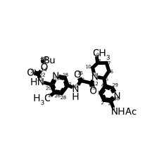 CC(=O)Nc1ccc(C2CCC(C)CN2C(=O)C(=O)Nc2cnc(NC(=O)OC(C)(C)C)c(C)c2)cn1